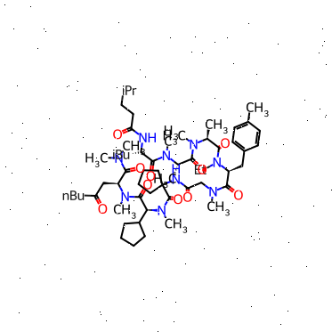 CCCCC(=O)C[C@@H](C(=O)N(C)C)N(C)C(=O)[C@H](C1CCCC1)N(C)C(=O)C1(NC(=O)CN(C)C(=O)[C@H](Cc2ccc(C)cc2)N(CC)C(=O)[C@H](C)N(C)C(=O)[C@H](C)N(C)C(=O)C(NC(=O)CCC(C)C)[C@@H](C)CC)CCCC1